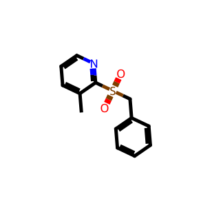 Cc1cccnc1S(=O)(=O)Cc1ccccc1